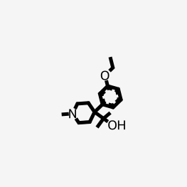 CCOc1cccc(C2(C(C)(C)O)CCN(C)CC2)c1